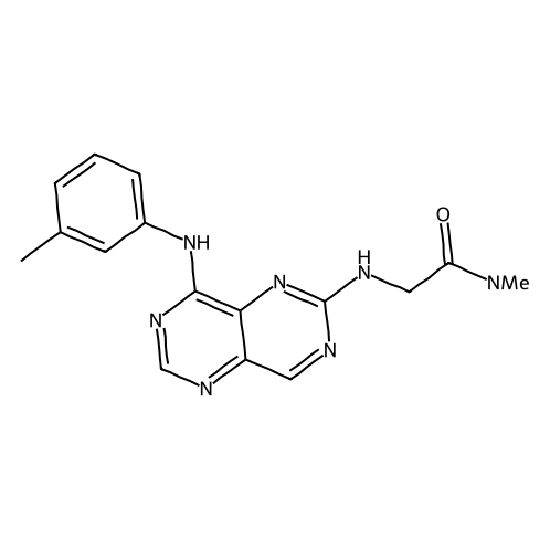 CNC(=O)CNc1ncc2ncnc(Nc3cccc(C)c3)c2n1